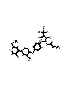 COC(=O)C[C@H]1[C@H](C)C(C(F)(F)F)=NN1c1ccc(OC2CCN(c3cc(OC)ncc3Cl)CC2C)cc1